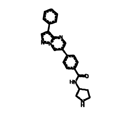 O=C(NC1CCNC1)c1ccc(-c2cnc3c(-c4ccccc4)cnn3c2)cc1